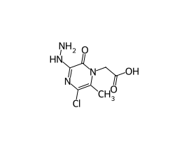 Cc1c(Cl)nc(NN)c(=O)n1CC(=O)O